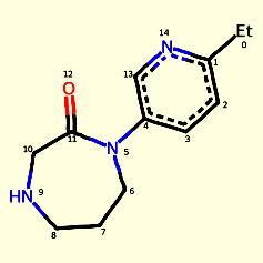 CCc1ccc(N2CCCNCC2=O)cn1